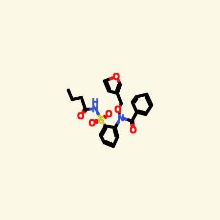 CCCC(=O)NS(=O)(=O)c1ccccc1N(OCc1ccoc1)C(=O)c1ccccc1